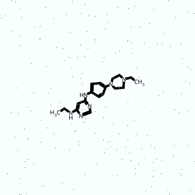 CCNc1cc(Nc2ccc(N3CCN(CC)CC3)cc2)ncn1